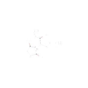 CCCOC(=O)C(CC(=O)O)N1C(=O)CCC1=O